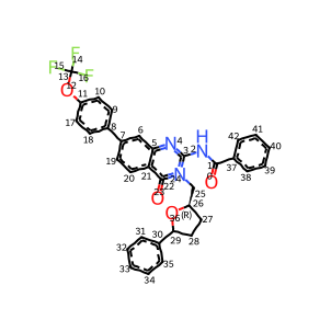 O=C(Nc1nc2cc(-c3ccc(OC(F)(F)F)cc3)ccc2c(=O)n1C[C@H]1CCC(c2ccccc2)O1)c1ccccc1